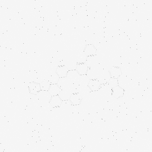 c1ccc(-c2nc(-c3cccc(-c4nc5c(-c6ccccc6)cccc5c5c4sc4ccccc45)c3)cc(-c3cccc(-n4c5ccccc5c5ccccc54)c3)n2)cc1